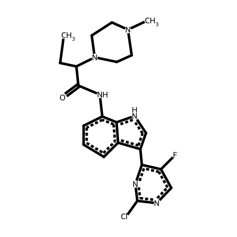 CCC(C(=O)Nc1cccc2c(-c3nc(Cl)ncc3F)c[nH]c12)N1CCN(C)CC1